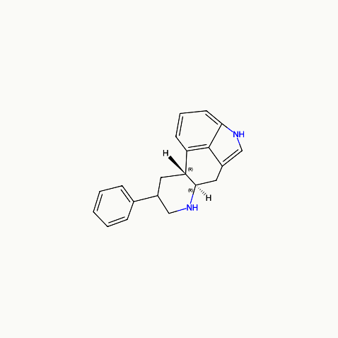 c1ccc(C2CN[C@@H]3Cc4c[nH]c5cccc(c45)[C@H]3C2)cc1